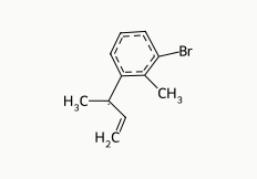 C=C[C](C)c1cccc(Br)c1C